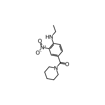 CCNc1ccc(C(=O)N2CCCCC2)cc1[N+](=O)[O-]